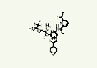 CC(C)Oc1nc(NC(=O)c2cccc(C(F)F)n2)cn2cc(C3CCOCC3)nc12.O=C(O)C(F)(F)F